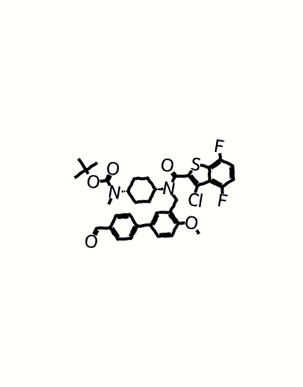 COc1ccc(-c2ccc(C=O)cc2)cc1CN(C(=O)c1sc2c(F)ccc(F)c2c1Cl)[C@H]1CC[C@H](N(C)C(=O)OC(C)(C)C)CC1